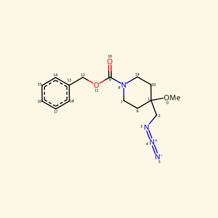 COC1(CN=[N+]=[N-])CCN(C(=O)OCc2ccccc2)CC1